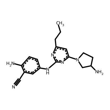 CCCc1cc(N2CCC(N)C2)nc(Nc2ccc(N)c(C#N)c2)n1